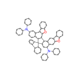 c1ccc(N(c2ccccc2)c2ccc3c4c(c5oc6ccccc6c5c3c2)-c2c(cc(N(c3ccccc3)c3ccccc3)c3cc5oc6ccccc6c5cc23)C42c3ccccc3-c3ccccc32)cc1